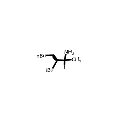 CCCC/C=C(\C(C)CC)C(C)(N)I